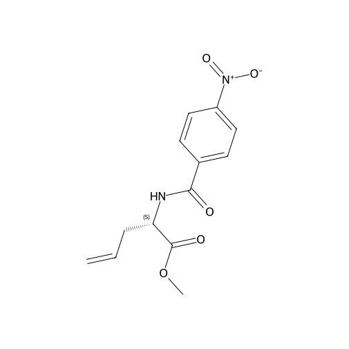 C=CC[C@H](NC(=O)c1ccc([N+](=O)[O-])cc1)C(=O)OC